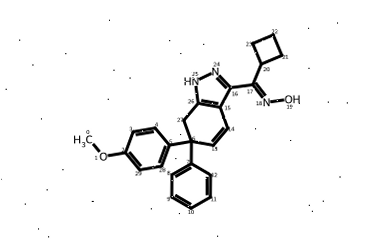 COc1ccc(C2(c3ccccc3)C=Cc3c(C(=NO)C4CCC4)n[nH]c3C2)cc1